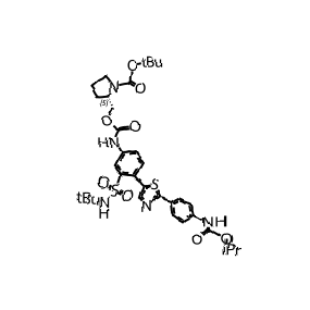 CC(C)OC(=O)Nc1ccc(-c2ncc(-c3ccc(NC(=O)OC[C@@H]4CCCN4C(=O)OC(C)(C)C)cc3S(=O)(=O)NC(C)(C)C)s2)cc1